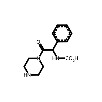 O=C(O)NC(C(=O)N1CCNCC1)c1ccccc1